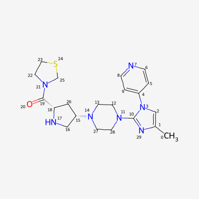 Cc1cn(-c2ccncc2)c(N2CCN([C@@H]3CN[C@H](C(=O)N4CCSC4)C3)CC2)n1